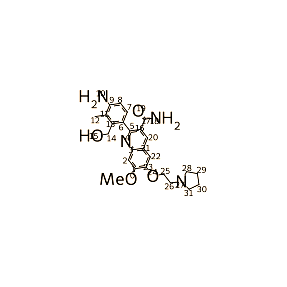 COc1cc2nc(-c3ccc(N)c(C)c3CO)c(C(N)=O)cc2cc1OCCN1CCCC1